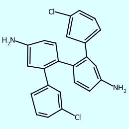 Nc1ccc(-c2ccc(N)cc2-c2cccc(Cl)c2)c(-c2cccc(Cl)c2)c1